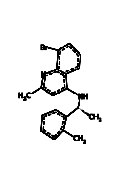 Cc1cc(N[C@H](C)c2ccccc2C)c2cccc(Br)c2n1